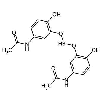 CC(=O)Nc1ccc(O)c(OBOc2cc(NC(C)=O)ccc2O)c1